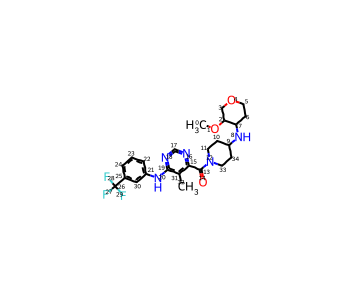 COC1COCCC1NC1CCN(C(=O)c2ncnc(Nc3cccc(C(F)(F)F)c3)c2C)CC1